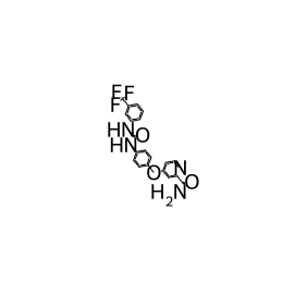 NC(=O)c1cc(Oc2ccc(NC(=O)Nc3cccc(C(F)(F)F)c3)cc2)ccn1